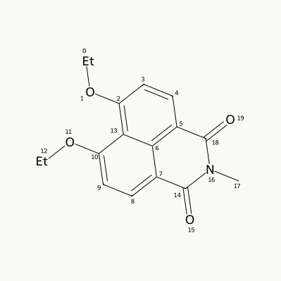 CCOc1ccc2c3c(ccc(OCC)c13)C(=O)N(C)C2=O